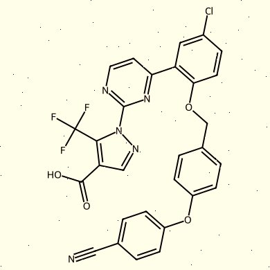 N#Cc1ccc(Oc2ccc(COc3ccc(Cl)cc3-c3ccnc(-n4ncc(C(=O)O)c4C(F)(F)F)n3)cc2)cc1